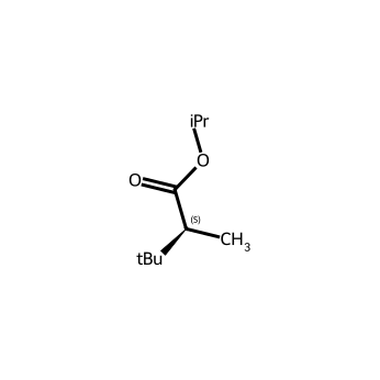 CC(C)OC(=O)[C@@H](C)C(C)(C)C